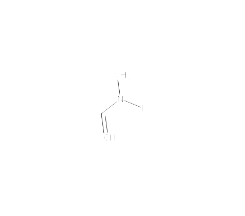 C=CN(C)I